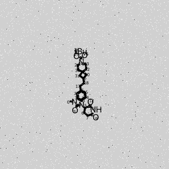 Cn1c(=O)n(C2CCC(=O)NC2=O)c2ccc(CCC3CC4(CCN(C(=O)OC(C)(C)C)CC4)C3)cc21